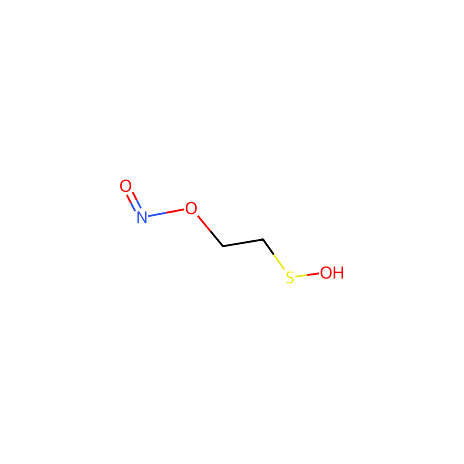 O=NOCCSO